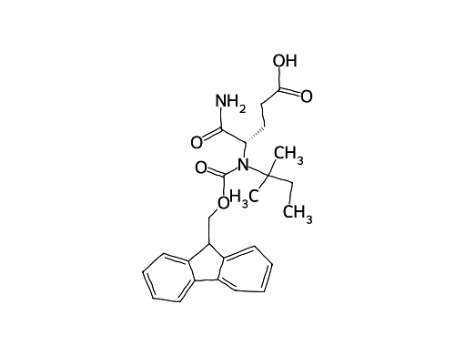 CCC(C)(C)N(C(=O)OCC1c2ccccc2-c2ccccc21)[C@@H](CCC(=O)O)C(N)=O